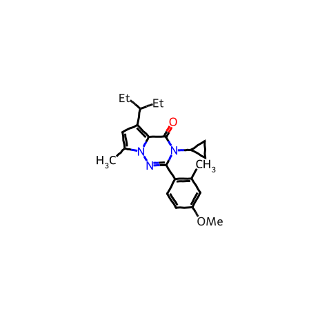 CCC(CC)c1cc(C)n2nc(-c3ccc(OC)cc3C)n(C3CC3)c(=O)c12